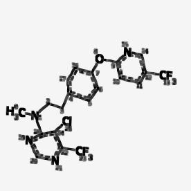 CN(CCc1ccc(Oc2ccc(C(F)(F)F)cn2)cc1)c1ncnc(C(F)(F)F)c1Cl